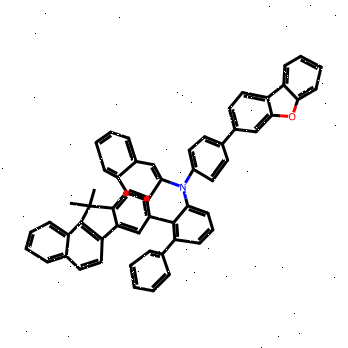 CC1(C)c2ccc(-c3c(-c4ccccc4)cccc3N(c3ccc(-c4ccc5c(c4)oc4ccccc45)cc3)c3ccc4ccccc4c3)cc2-c2ccc3ccccc3c21